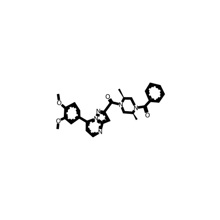 COc1ccc(-c2ccnc3cc(C(=O)N4C[C@H](C)N(C(=O)c5ccccc5)C[C@@H]4C)nn23)cc1OC